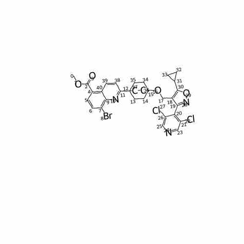 COC(=O)c1ccc(Br)c2nc(C34CCC(OCc5c(-c6c(Cl)cncc6Cl)noc5C5CC5)(CC3)CC4)ccc12